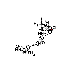 Cn1c(=O)n(C2CCC(=O)NC2=O)c2ccc(C#CC3CCN(C(=O)[C@H]4CC[C@H](NC(=O)[C@@H]5NC6(CCC(C)(C)CC6)[C@@]6(C(=O)Nc7cc(Cl)ccc76)[C@H]5c5cccc(Cl)c5F)CO4)CC3)cc21